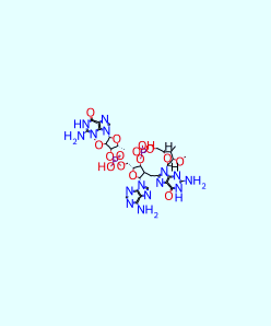 COC1C(OP(=O)(O)OC[C@H]2O[C@@H](n3cnc4c(N)ncnc43)C3Cc4nc5c(=O)[nH]c(N)nc5n4[C@@H]4O[C@H](COP(=O)(O)OC32)C(C)C4OC)[C@@H](C)O[C@H]1n1cnc2c(=O)[nH]c(N)nc21